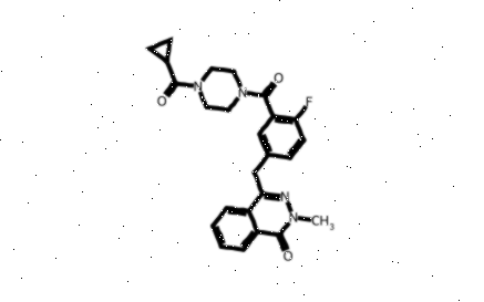 Cn1nc(Cc2ccc(F)c(C(=O)N3CCN(C(=O)C4CC4)CC3)c2)c2ccccc2c1=O